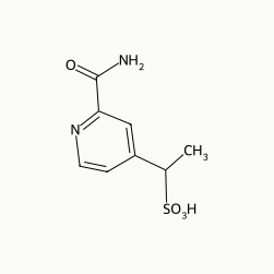 CC(c1ccnc(C(N)=O)c1)S(=O)(=O)O